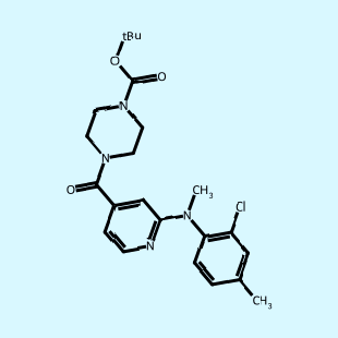 Cc1ccc(N(C)c2cc(C(=O)N3CCN(C(=O)OC(C)(C)C)CC3)ccn2)c(Cl)c1